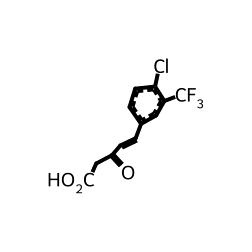 O=C(O)CC(=O)C=Cc1ccc(Cl)c(C(F)(F)F)c1